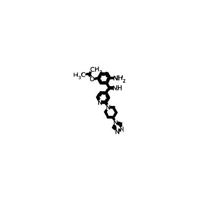 CC(C)Oc1ccc(N)c(C(=N)c2ccnc(N3CCC(n4cnnc4)CC3)c2)c1